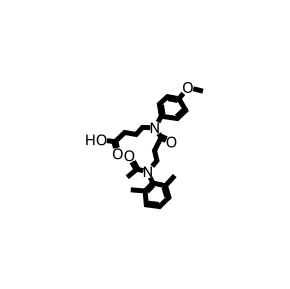 COc1ccc(N(CCCC(=O)O)C(=O)CCN(C(C)=O)c2c(C)cccc2C)cc1